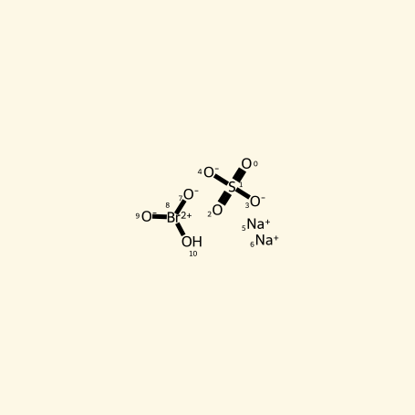 O=S(=O)([O-])[O-].[Na+].[Na+].[O-][Br+2]([O-])O